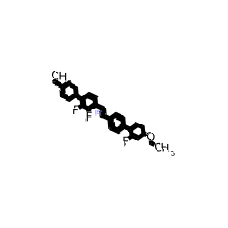 CCOC1C=C(F)C(c2ccc(/C=C/c3ccc(C4CCC(CC)CC4)c(F)c3F)cc2)=CC1